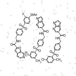 CSc1ccc(S(=O)(=O)c2ccc(CNC(=O)c3cc4ccncc4o3)cc2)cc1F.Cc1cc(C)cc(S(=O)(=O)c2ccc(CNC(=O)c3cnc4nccn4c3)cc2)c1.Cc1ccc(Cl)cc1S(=O)(=O)c1ccc(CNC(=O)c2cnc3nccn3c2)cc1